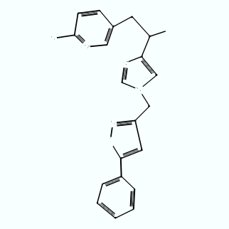 Nc1ccc(CC(C(=O)O)c2cn(Cc3cc(-c4ccccc4)on3)cn2)cn1